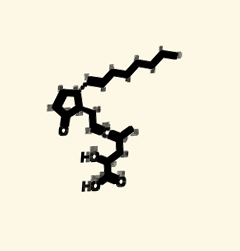 CCCCCCC=C[C@H]1C=CC(=O)[C@@H]1CC=C=C(C)CC(O)C(=O)O